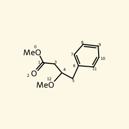 COC(=O)CC(Cc1ccccc1)OC